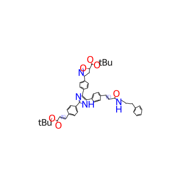 CC(C)(C)OC(=O)/C=C/c1ccc(-c2nc(-c3ccc(C4=NOC(C(=O)OC(C)(C)C)C4)cc3)c(-c3ccc(/C=C/C(=O)NCCCc4ccccc4)cc3)[nH]2)cc1